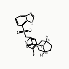 O=C(CCS(=O)(=O)c1cccc2ncsc12)N1C[C@H]2CC[C@@H](C1)N2c1ccncc1F